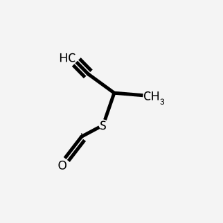 C#CC(C)S[C]=O